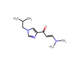 CC(C)Cn1cnc(C(=O)C=CN(C)C)c1